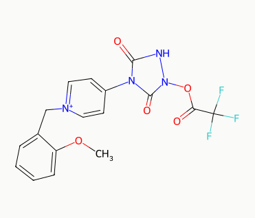 COc1ccccc1C[n+]1ccc(-n2c(=O)[nH]n(OC(=O)C(F)(F)F)c2=O)cc1